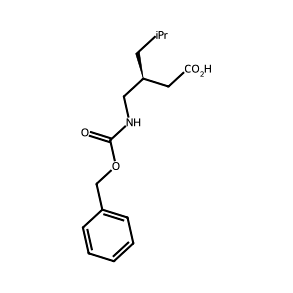 CC(C)C[C@H](CNC(=O)OCc1ccccc1)CC(=O)O